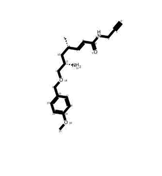 C#CCNC(=O)/C=C/[C@@H](C)C[C@H](N)COCc1ccc(OC)cc1